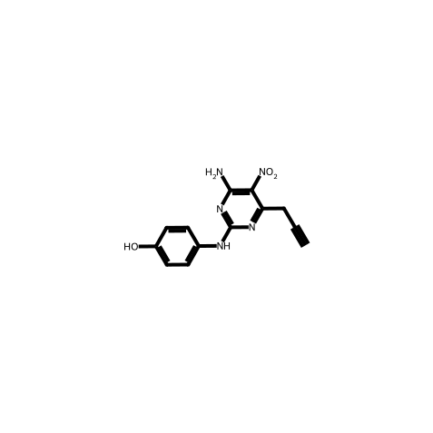 C#CCc1nc(Nc2ccc(O)cc2)nc(N)c1[N+](=O)[O-]